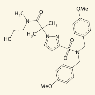 COc1ccc(CN(Cc2ccc(OC)cc2)S(=O)(=O)c2ccn(C(C)(C)C(=O)N(C)CCO)n2)cc1